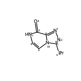 CC(C)c1nnc2c(=O)[nH]ccn12